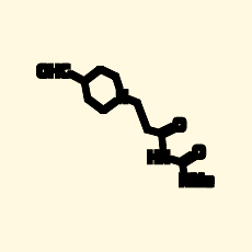 CNC(=O)NC(=O)CCN1CCC(C=O)CC1